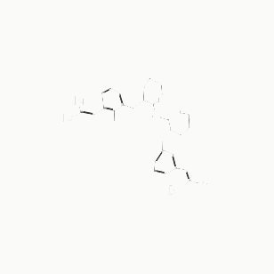 Cc1c(C=C(Br)Br)cccc1CC1CCCOC1OC1OCCCC1Cc1cccc(C=C(Br)Br)c1C